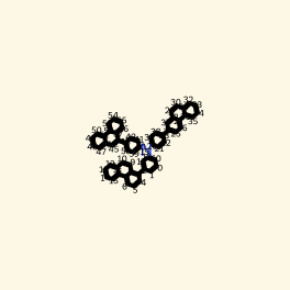 c1cc(-c2cccc3c2ccc2ccccc23)cc(N(c2ccc(-c3ccc4c(ccc5ccccc54)c3)cc2)c2ccc(-c3cc4ccccc4c4ccccc34)cc2)c1